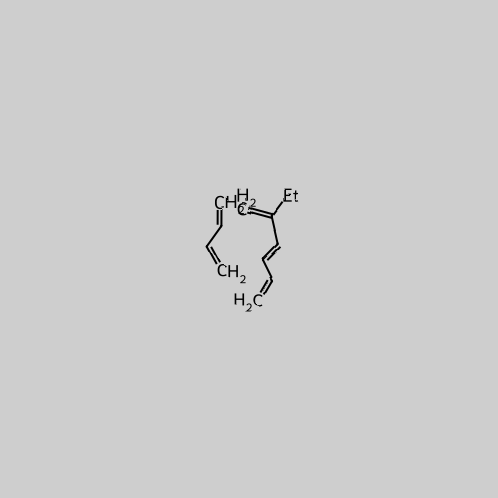 C=CC=C.C=CC=CC(=C)CC